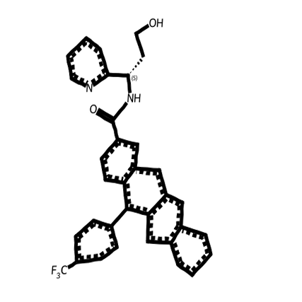 O=C(N[C@@H](CCO)c1ccccn1)c1ccc2c(-c3ccc(C(F)(F)F)cc3)c3cc4ccccc4cc3cc2c1